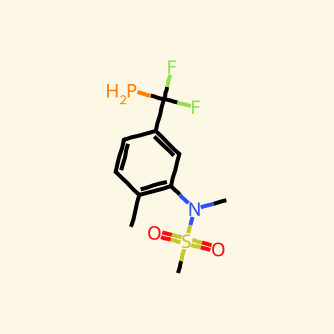 Cc1ccc(C(F)(F)P)cc1N(C)S(C)(=O)=O